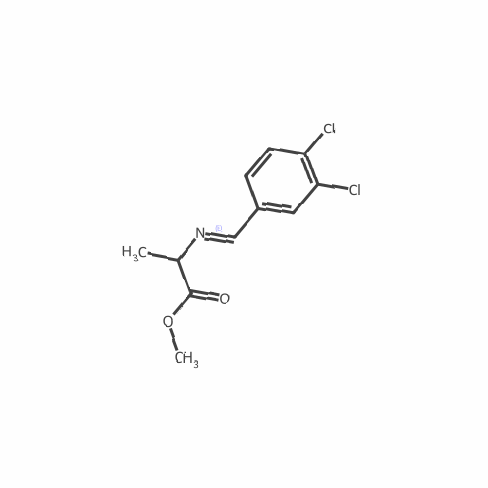 COC(=O)C(C)/N=C/c1ccc(Cl)c(Cl)c1